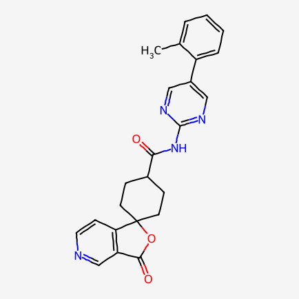 Cc1ccccc1-c1cnc(NC(=O)C2CCC3(CC2)OC(=O)c2cnccc23)nc1